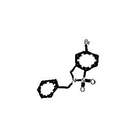 O=S1(=O)c2ccc(Br)cc2CN1Cc1ccccc1